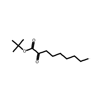 [CH2]CCCCCCC(=O)C(=O)OC(C)(C)C